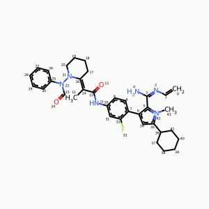 C=C/N=C(/N)c1c(-c2ccc(NC(=O)/C(C)=C3\CCCCN3N(C=O)c3ccccc3)cc2F)cc(C2CCCCC2)n1C